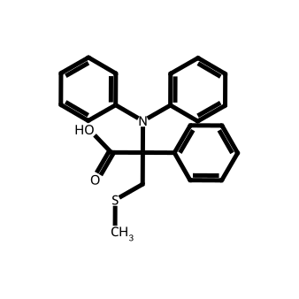 CSCC(C(=O)O)(c1ccccc1)N(c1ccccc1)c1ccccc1